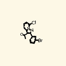 CC(=O)c1c(-c2cccc(Br)c2)nn2c(Cl)cccc12